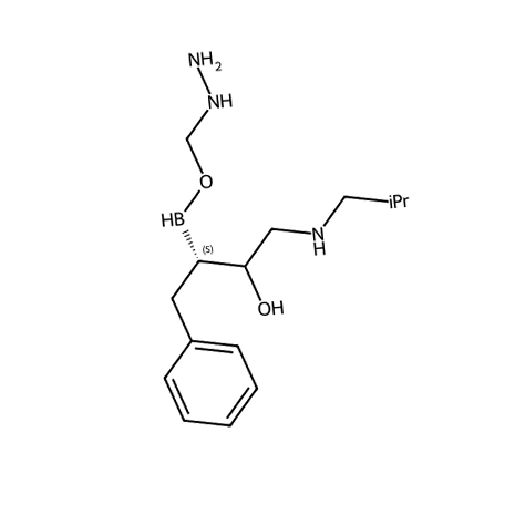 CC(C)CNCC(O)[C@@H](BOCNN)Cc1ccccc1